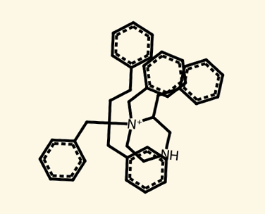 c1ccc(CCC(Cc2ccccc2)(Cc2ccccc2)[N+]2(Cc3ccccc3)CCNCC2Cc2ccccc2)cc1